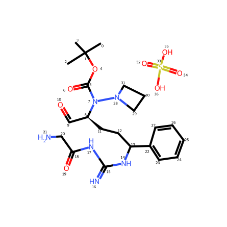 CC(C)(C)OC(=O)N([C@H](C=O)CCC(NC(=N)NC(=O)CN)c1ccccc1)N1CCC1.O=S(=O)(O)O